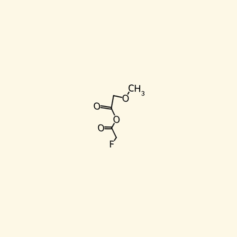 COCC(=O)OC(=O)CF